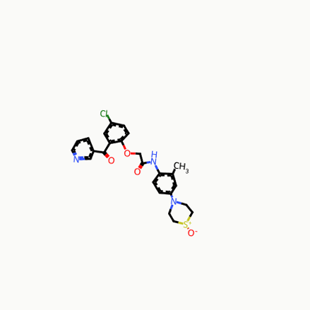 Cc1cc(N2CC[S+]([O-])CC2)ccc1NC(=O)COc1ccc(Cl)cc1C(=O)c1cccnc1